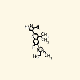 CCN1CN(c2cc3c(C(C)C)cc(-c4c[nH]nc4C4CC4)nc3cc2F)N=C1CO